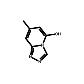 Cc1[c]c(O)n2cnnc2c1